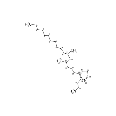 CCCCCCCCCCCC(C)CC(C)CCCc1cccnc1CCN